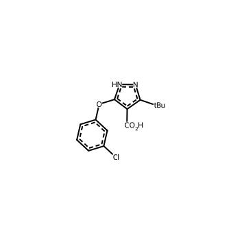 CC(C)(C)c1n[nH]c(Oc2cccc(Cl)c2)c1C(=O)O